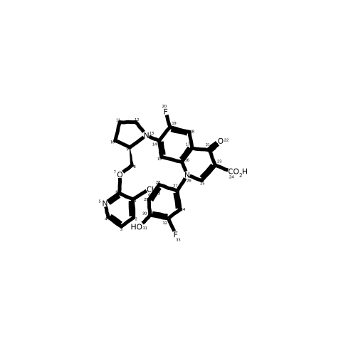 Cc1cccnc1OC[C@H]1CCCN1c1cc2c(cc1F)c(=O)c(C(=O)O)cn2-c1ccc(O)c(F)c1